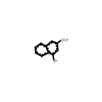 CCCc1cc(C(=O)O)cc2ccccc12